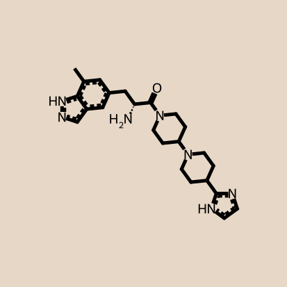 Cc1cc(C[C@@H](N)C(=O)N2CCC(N3CCC(c4ncc[nH]4)CC3)CC2)cc2cn[nH]c12